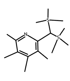 Cc1nc(C(S(C)(C)C)S(C)(C)C)c(C)c(C)c1C